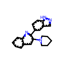 c1ccc2nc(-c3ccc4[nH]ncc4c3)c(N3CCCCC3)cc2c1